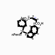 CCCCCN(c1ccncc1)n1ccc2ccccc21.O=C(O)/C=C\C(=O)O